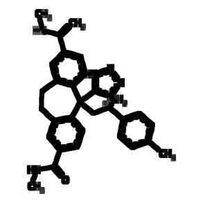 C=C(NC)c1ccc2c(c1)CCc1cc(C(=O)NC)ccc1C2(C[C@@H](N)c1ccc(C)cc1)c1nnn[nH]1